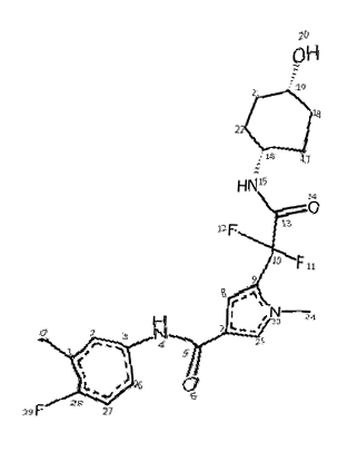 Cc1cc(NC(=O)c2cc(C(F)(F)C(=O)N[C@H]3CC[C@@H](O)CC3)n(C)c2)ccc1F